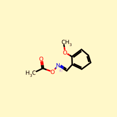 COc1ccccc1/C=N/OC(C)=O